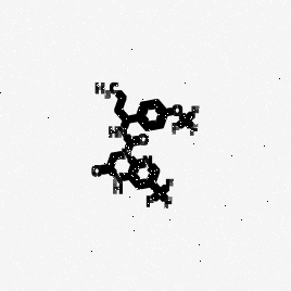 CCCC(NC(=O)N1CC(=O)Nc2cc(C(F)(F)F)cnc21)c1ccc(OC(F)(F)F)cc1